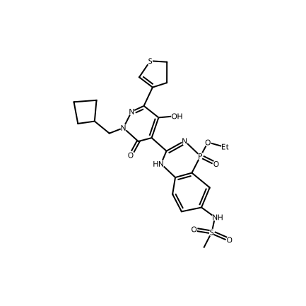 CCOP1(=O)N=C(c2c(O)c(C3=CSCC3)nn(CC3CCC3)c2=O)Nc2ccc(NS(C)(=O)=O)cc21